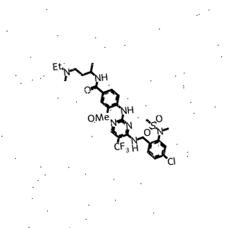 CCN(C)CCC(C)NC(=O)c1ccc(Nc2ncc(C(F)(F)F)c(NCc3ccc(Cl)cc3N(C)S(C)(=O)=O)n2)c(OC)c1